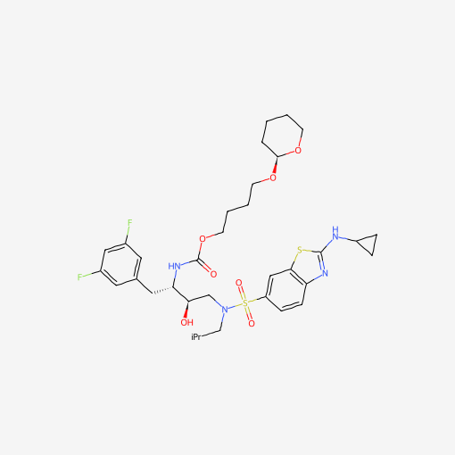 CC(C)CN(C[C@@H](O)[C@H](Cc1cc(F)cc(F)c1)NC(=O)OCCCCO[C@H]1CCCCO1)S(=O)(=O)c1ccc2nc(NC3CC3)sc2c1